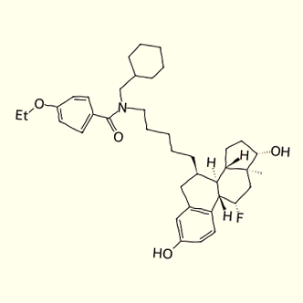 CCOc1ccc(C(=O)N(CCCCC[C@@H]2Cc3cc(O)ccc3[C@@H]3[C@@H]2[C@@H]2CC[C@H](O)[C@@]2(C)C[C@@H]3F)CC2CCCCC2)cc1